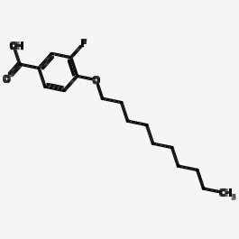 CCCCCCCCCCOc1ccc(C(=O)O)cc1F